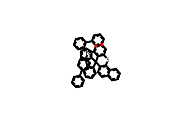 c1ccc(-c2ccc(N(c3ccccc3-c3ccccc3)c3cccc4c3C3(c5ccccc5-c5ccccc53)c3ccc5ccccc5c3S4)cc2)cc1